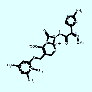 CO/N=C(\C(=O)N[C@@H]1C(=O)N2C(C(=O)[O-])=C(CSc3cc(N)nc(N)[n+]3C)CS[C@H]12)c1csc(N)n1